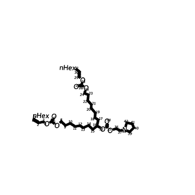 CCCCCC/C=C\COC(=O)OCCCCCCCCC(CCCCCCCCOC(=O)O/C=C/CCCCCC)OC(=O)OCCN1CCCC1